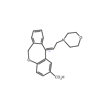 O=C(O)c1ccc2c(c1)/C(=C/CN1CCOCC1)c1ccccc1CO2